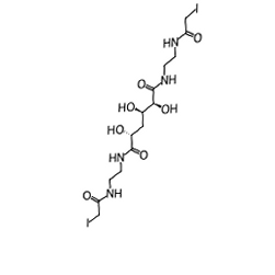 O=C(CI)NCCNC(=O)[C@H](O)C[C@@H](O)[C@H](O)C(=O)NCCNC(=O)CI